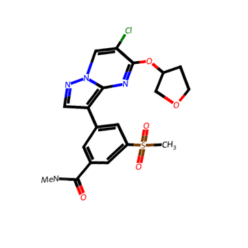 CNC(=O)c1cc(-c2cnn3cc(Cl)c(OC4CCOC4)nc23)cc(S(C)(=O)=O)c1